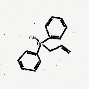 C=CC[PH](CCCC)(c1ccccc1)c1ccccc1